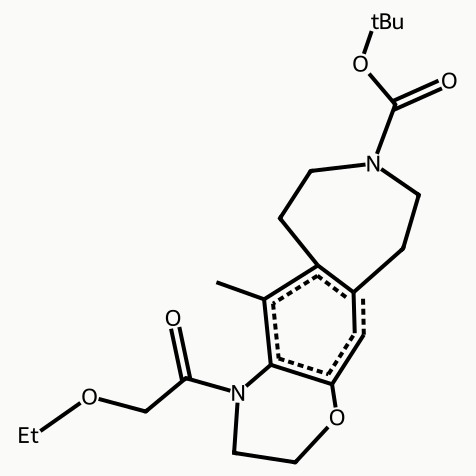 CCOCC(=O)N1CCOc2cc3c(c(C)c21)CCN(C(=O)OC(C)(C)C)CC3